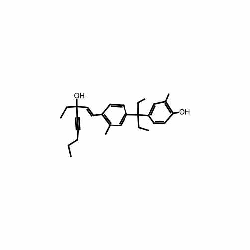 CCCC#CC(O)(C=Cc1ccc(C(CC)(CC)c2ccc(O)c(C)c2)cc1C)CC